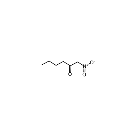 CCCCC(=O)C[N+](=O)[O-]